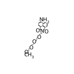 COCCOCCOCCOCCN1C(=O)c2cccc3c(N)ccc(c23)C1=O